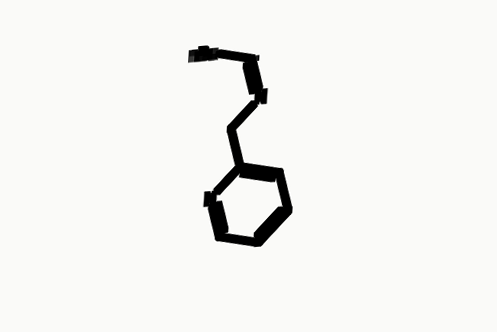 CCCC/[C]=N\Cc1ccccn1